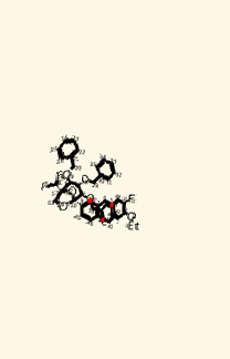 CCOc1ccc(Cc2cc([C@]34OC[C@](C(F)F)(O3)[C@@H](OCc3ccccc3)[C@H](OCc3ccccc3)[C@H]4OCc3ccccc3)ccc2Cl)cc1F